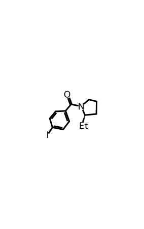 CC[C@@H]1CCCN1C(=O)c1ccc(I)cc1